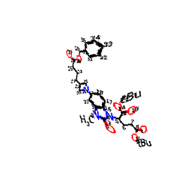 Cn1c(=O)n(C(CCC(=O)OC(C)(C)C)C(=O)OC(C)(C)C)c2ccc(N3CC(CCCC(=O)OCc4ccccc4)C3)cc21